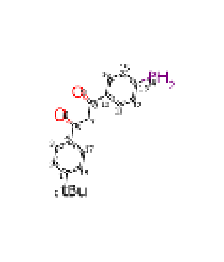 CC(C)(C)c1ccc(C(=O)CC(=O)c2ccc(P)cc2)cc1